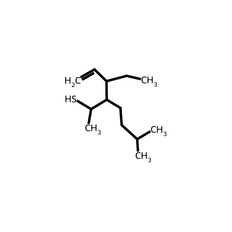 C=CC(CC)C(CCC(C)C)C(C)S